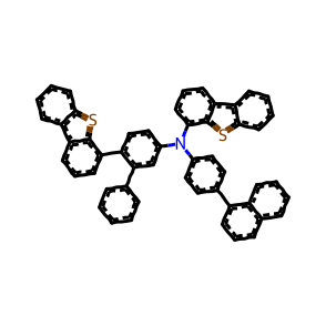 c1ccc(-c2cc(N(c3ccc(-c4cccc5ccccc45)cc3)c3cccc4c3sc3ccccc34)ccc2-c2cccc3c2sc2ccccc23)cc1